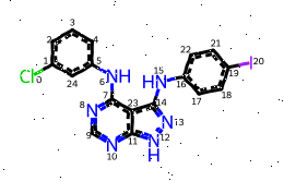 Clc1cccc(Nc2ncnc3[nH]nc(Nc4ccc(I)cc4)c23)c1